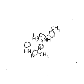 C=C(NC(CC)c1cccc(C)c1)c1ccn(-c2cc(Nc3ccccc3)ncc2C)c1